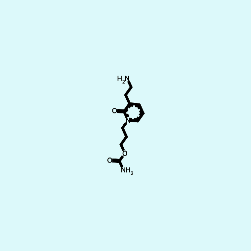 NCCc1cccn(CCCOC(N)=O)c1=O